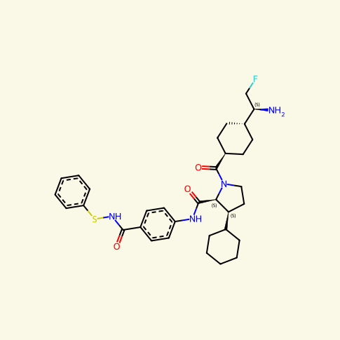 N[C@H](CF)[C@H]1CC[C@H](C(=O)N2CC[C@@H](C3CCCCC3)[C@H]2C(=O)Nc2ccc(C(=O)NSc3ccccc3)cc2)CC1